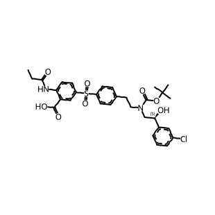 CCC(=O)Nc1ccc(S(=O)(=O)c2ccc(CCN(C[C@@H](O)c3cccc(Cl)c3)C(=O)OC(C)(C)C)cc2)cc1C(=O)O